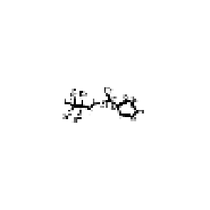 CC(F)(F)C(F)(F)CCSC(=O)c1ccccc1